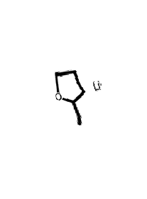 CC1CCCO1.[Li]